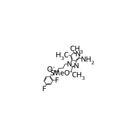 COC(C)c1nc2c(N)nc(C)c(C)c2n1CCCC[S+]([O-])c1ccc(F)cc1F